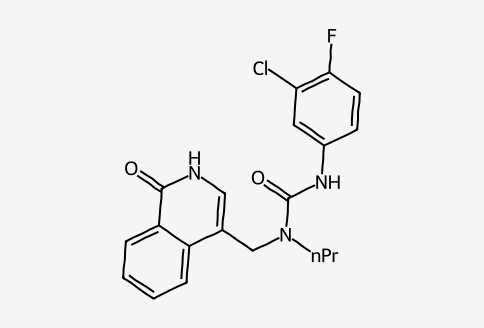 CCCN(Cc1c[nH]c(=O)c2ccccc12)C(=O)Nc1ccc(F)c(Cl)c1